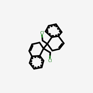 ClCC1(C2(CCl)CC=Cc3ccccc32)CC=Cc2ccccc21